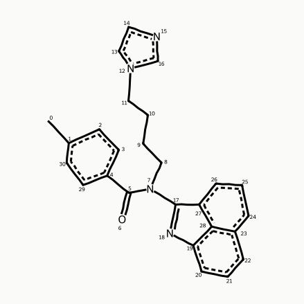 Cc1ccc(C(=O)N(CCCCn2ccnc2)C2=Nc3cccc4cccc2c34)cc1